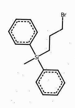 C[Si](CCCBr)(c1ccccc1)c1ccccc1